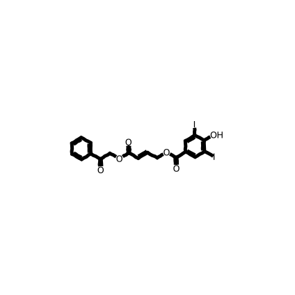 O=C(/C=C/COC(=O)c1cc(I)c(O)c(I)c1)OCC(=O)c1ccccc1